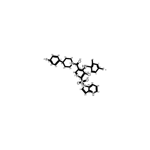 Cc1cc(F)ccc1Nc1c(C(=O)N2CCC(c3ccc(F)cc3)CC2)cnc(S(=O)(=O)n2ccc3ncccc32)c1Cl